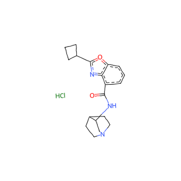 Cl.O=C(NC1CN2CCC1CC2)c1cccc2oc(C3CCC3)nc12